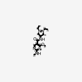 CCN1CC(NC(=O)c2cnc(NC)nc2OC)CN1CC